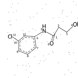 O=C(CCO)Nc1cccc(Cl)c1